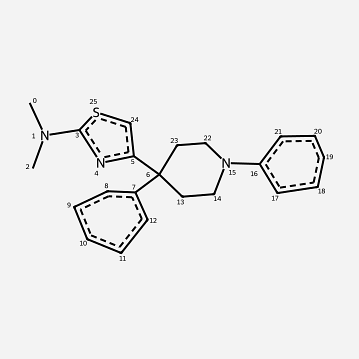 CN(C)c1nc(C2(c3ccccc3)CCN(c3ccccc3)CC2)cs1